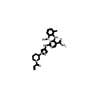 C=CC(=O)N1CCCC(n2cc(Nc3ncc(C(N)=O)c(Nc4c(C)cccc4OC(C)C)n3)cn2)C1